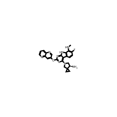 CNc1c(F)ccc2c1[nH]c1nc(Oc3cnc4cccnc4c3)nc(N3C[C@@H](N)C4(CC4)C3)c12